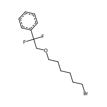 FC(F)(COCCCCCCBr)c1ccccc1